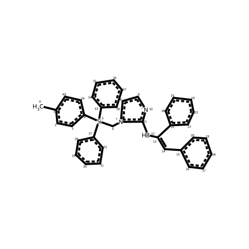 Cc1ccc([Si](Cn2ccnc2BC(=Cc2ccccc2)c2ccccc2)(c2ccccc2)c2ccccc2)cc1